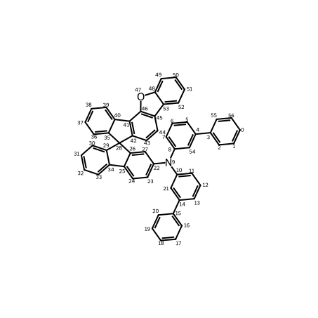 c1ccc(-c2cccc(N(c3cccc(-c4ccccc4)c3)c3ccc4c(c3)C3(c5ccccc5-4)c4ccccc4-c4c3ccc3c4oc4ccccc43)c2)cc1